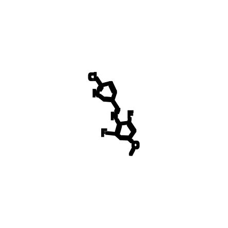 COc1cc(F)c(/N=C/c2ccc(Cl)nc2)c(F)c1